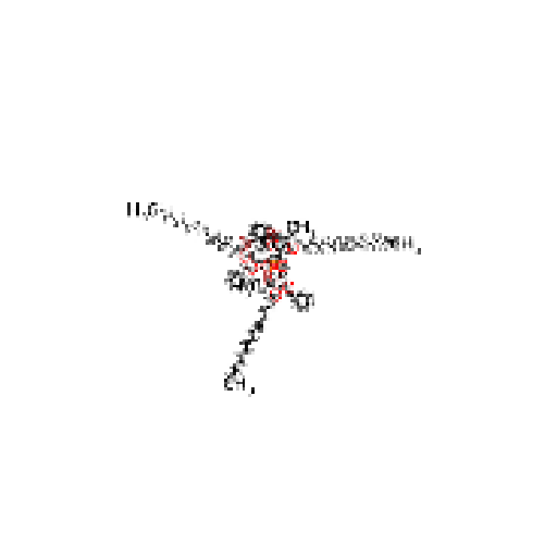 CCCCCCCCCCCCCCCCOC(C(Br)CC)C(COP(=O)(OCC(OCc1ccccc1)C(OCCCCCCCCCCCCCCCC)C(Br)CC)OCC(OCc1ccccc1)C(OCCCCCCCCCCCCCCCC)C(Br)CC)OCc1ccccc1